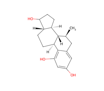 C[C@H]1Cc2cc(O)cc(O)c2[C@H]2CC[C@@H]3C(O)CC[C@H]3[C@@H]21